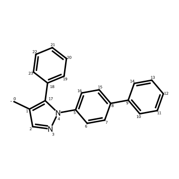 [CH2]c1cnn(-c2ccc(-c3ccccc3)cc2)c1-c1ccccc1